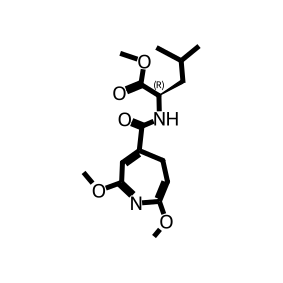 COC(=O)[C@@H](CC(C)C)NC(=O)C1=CC(OC)=NC(OC)=CC1